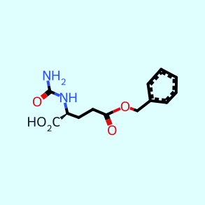 NC(=O)N[C@@H](CCC(=O)OCc1ccccc1)C(=O)O